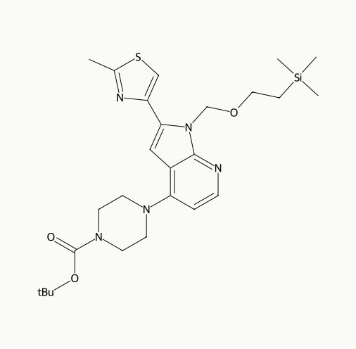 Cc1nc(-c2cc3c(N4CCN(C(=O)OC(C)(C)C)CC4)ccnc3n2COCC[Si](C)(C)C)cs1